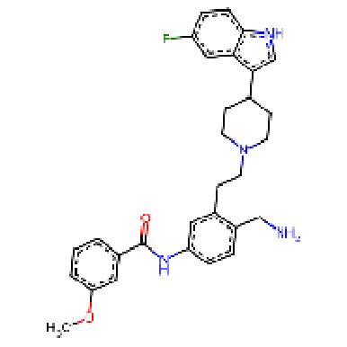 COc1cccc(C(=O)Nc2ccc(CN)c(CCN3CCC(c4c[nH]c5ccc(F)cc45)CC3)c2)c1